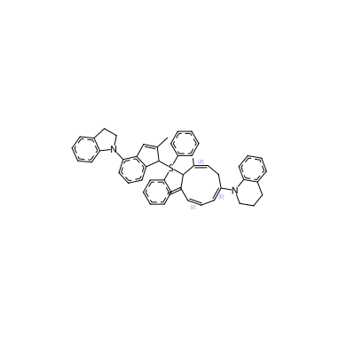 C=C1/C=C\C=C(\N2CCCc3ccccc32)C/C=C(/C)C1S(c1ccccc1)(c1ccccc1)C1C(C)=Cc2c1cccc2N1CCc2ccccc21